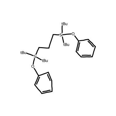 CC(C)(C)[Si](CCC[Si](Oc1ccccc1)(C(C)(C)C)C(C)(C)C)(Oc1ccccc1)C(C)(C)C